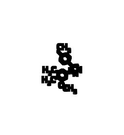 CCc1ccc(-c2cnnn2-c2cc(C)c(C)c(OC)c2)cc1